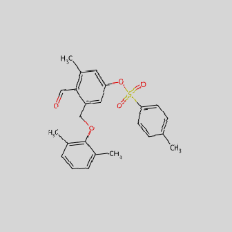 Cc1ccc(S(=O)(=O)Oc2cc(C)c(C=O)c(COc3c(C)cccc3C)c2)cc1